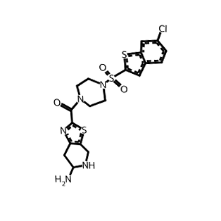 NC1Cc2nc(C(=O)N3CCN(S(=O)(=O)c4cc5ccc(Cl)cc5s4)CC3)sc2CN1